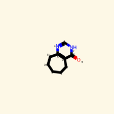 O=c1[nH]cnc2c1CCCCC2